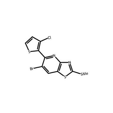 CSc1nc2nc(-c3sccc3Cl)c(Br)cc2s1